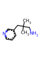 CC(C)(CN)Cc1cccnc1